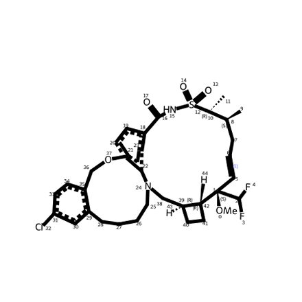 CO[C@]1(C(F)F)/C=C/C[C@H](C)[C@@H](C)S(=O)(=O)NC(=O)c2ccc3c(c2)N(CCCCc2cc(Cl)ccc2CO3)C[C@@H]2CC[C@H]21